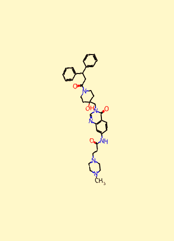 CN1CCN(CCC(=O)Nc2ccc3c(=O)n(CC4(O)CCN(C(=O)CC(c5ccccc5)c5ccccc5)CC4)cnc3c2)CC1